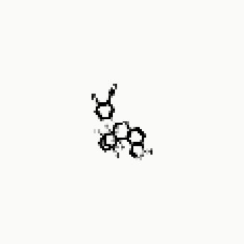 N#Cc1cc([C@@H]2Nc3ccc4[nH]ncc4c3[C@H]3[C@@H]4CC[C@@H](C4)[C@H]32)ccc1F